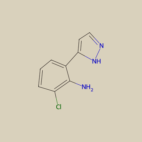 Nc1c(Cl)cccc1-c1ccn[nH]1